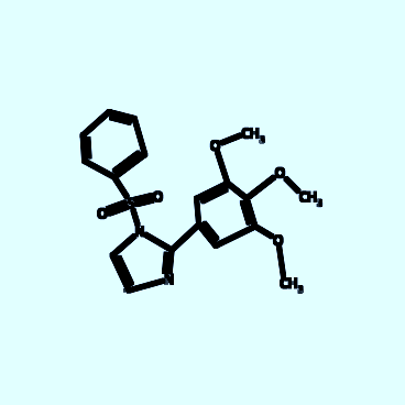 COc1cc(-c2n[c]cn2S(=O)(=O)c2ccccc2)cc(OC)c1OC